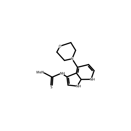 CNC(=S)NC1=CNC2NC=CC(N3CCOCC3)=C12